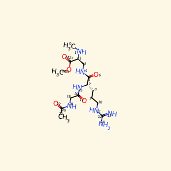 CN[C@@H](CNC(=O)[C@H](CCCNC(=N)N)NC(=O)CNC(C)=O)C(=O)OC